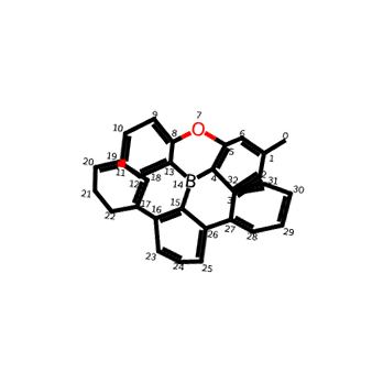 Cc1c#cc2c(c1)Oc1ccccc1B2c1c(C2=CC=CCC2)cccc1-c1ccccc1